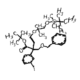 CC(C)(C)OC(=O)C(CCOC(C)(C)CO[Si](C)(C)C(C)(C)C)(COCc1ccccc1)c1cccc(I)c1